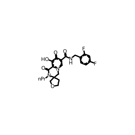 CCCN1C(=O)c2c(O)c(=O)c(C(=O)NCc3ccc(F)cc3F)cn2CC12CCOC2